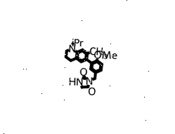 COc1ccc(CN2C(=O)CNC2=O)cc1-c1cc2c(cc1C)N(C(C)C)CCC2